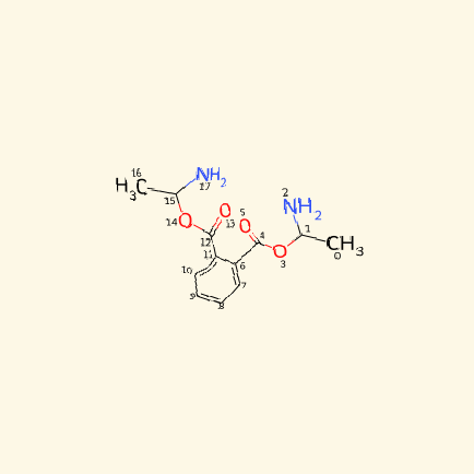 CC(N)OC(=O)c1ccccc1C(=O)OC(C)N